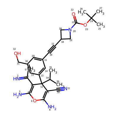 CC(=N)C1=C(N)OC(N)=C(C#N)C1(c1cc(C#CC2CN(C(=O)OC(C)(C)C)C2)cc(CO)c1)C(C)C